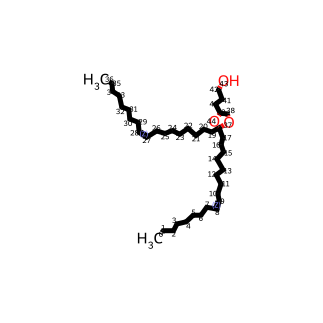 CCCCCCCC/C=C\CCCCCCCCC1(CCCCCCCC/C=C\CCCCCCCC)OCC(CCCO)O1